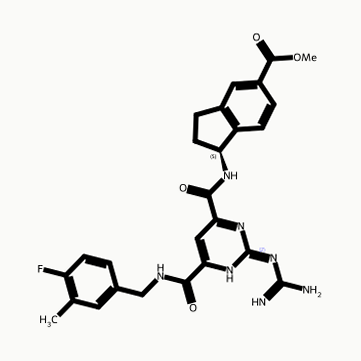 COC(=O)c1ccc2c(c1)CC[C@@H]2NC(=O)c1cc(C(=O)NCc2ccc(F)c(C)c2)[nH]/c(=N\C(=N)N)n1